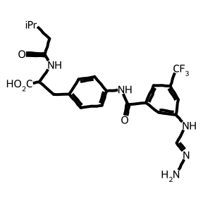 CC(C)CC(=O)NC(Cc1ccc(NC(=O)c2cc(NC=NN)cc(C(F)(F)F)c2)cc1)C(=O)O